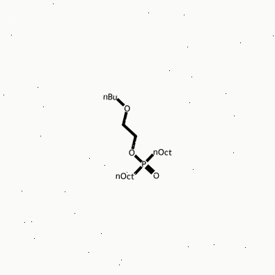 CCCCCCCCP(=O)(CCCCCCCC)OCCOCCCC